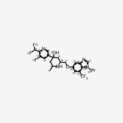 CC1CC(O)(c2cnc(C(F)F)c(F)c2)CC(COc2cc(C(F)(F)F)c3c(c2)ncn3C(C)C)N1